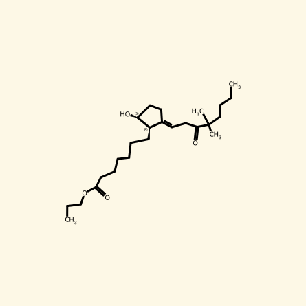 CCCCC(C)(C)C(=O)CC=C1CC[C@H](O)[C@@H]1CCCCCCC(=O)OCCC